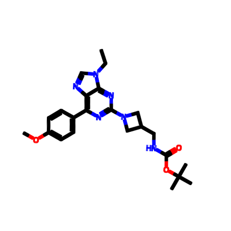 CCn1cnc2c(-c3ccc(OC)cc3)nc(N3CC(CNC(=O)OC(C)(C)C)C3)nc21